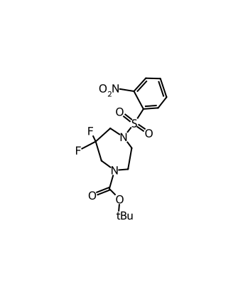 CC(C)(C)OC(=O)N1CCN(S(=O)(=O)c2ccccc2[N+](=O)[O-])CC(F)(F)C1